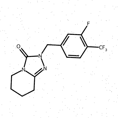 O=c1n(Cc2ccc(C(F)(F)F)c(F)c2)nc2n1CCCC2